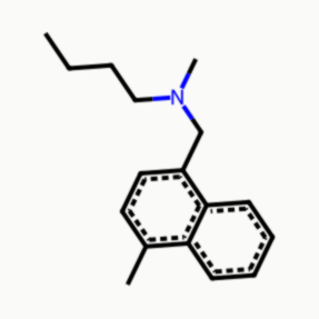 CCCCN(C)Cc1ccc(C)c2ccccc12